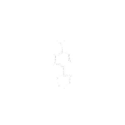 O=[N+](O)c1ccc(-c2cnccn2)nc1